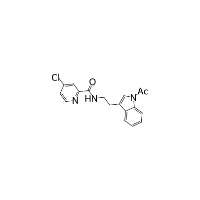 CC(=O)n1cc(CCNC(=O)c2cc(Cl)ccn2)c2ccccc21